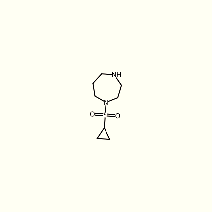 O=S(=O)(C1CC1)N1CCCNCC1